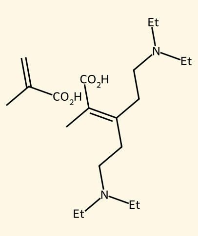 C=C(C)C(=O)O.CCN(CC)CCC(CCN(CC)CC)=C(C)C(=O)O